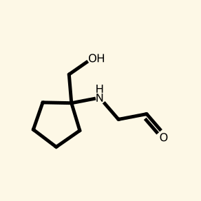 O=CCNC1(CO)CCCC1